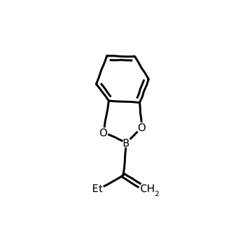 C=C(CC)B1Oc2ccccc2O1